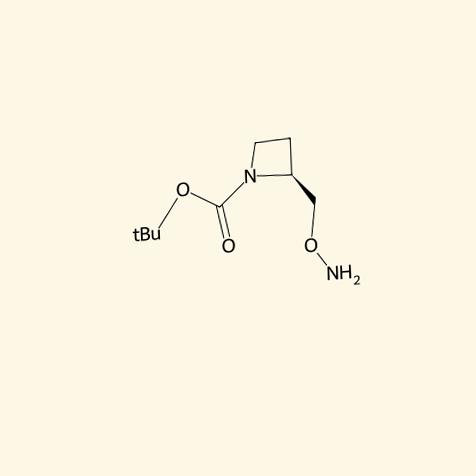 CC(C)(C)OC(=O)N1CC[C@H]1CON